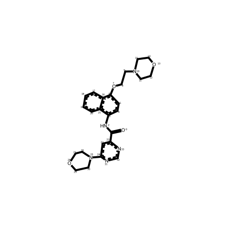 O=C(Nc1ccc(OCCN2CCOCC2)c2ccccc12)c1cc(N2CCOCC2)ncn1